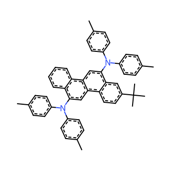 Cc1ccc(N(c2ccc(C)cc2)c2cc3c4ccc(C(C)(C)C)cc4c(N(c4ccc(C)cc4)c4ccc(C)cc4)cc3c3ccccc23)cc1